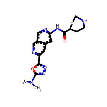 CN(C)c1nnc(-c2cc3cc(NC(=O)C4CCNCC4)ncc3cn2)o1